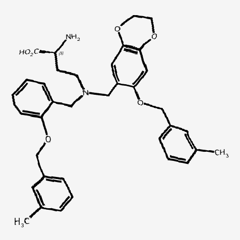 Cc1cccc(COc2ccccc2CN(CC[C@H](N)C(=O)O)Cc2cc3c(cc2OCc2cccc(C)c2)OCCO3)c1